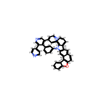 c1cc(-c2c(-c3ccncc3)cncc2-c2ccncc2)cc(-n2c3ccccc3c3cc4ccc5oc6ccccc6c5c4cc32)c1